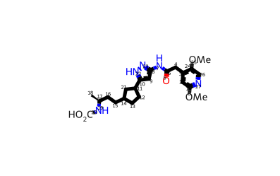 COc1cc(CC(=O)Nc2cc(C3CCC(CC[C@H](C)NC(=O)O)C3)[nH]n2)c(OC)cn1